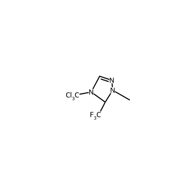 CN1N=CN(C(Cl)(Cl)Cl)C1C(F)(F)F